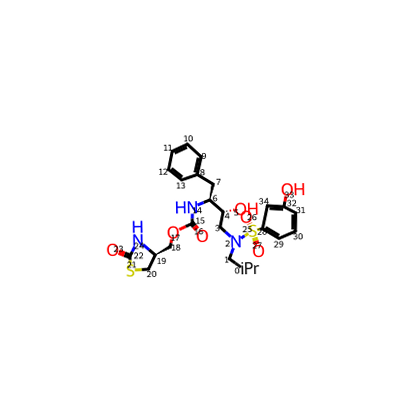 CC(C)CN(C[C@@H](O)[C@H](Cc1ccccc1)NC(=O)OC[C@H]1CSC(=O)N1)S(=O)(=O)c1cccc(O)c1